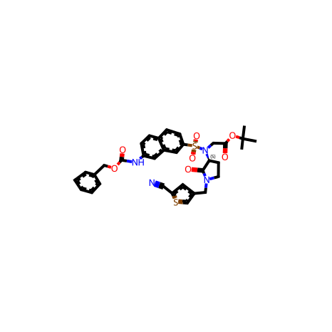 CC(C)(C)OC(=O)CN([C@H]1CCN(Cc2csc(C#N)c2)C1=O)S(=O)(=O)c1ccc2ccc(NC(=O)OCc3ccccc3)cc2c1